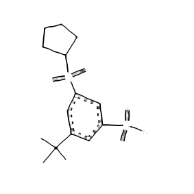 NS(=O)(=O)c1cc(C(F)(F)F)cc(S(=O)(=O)C2CCCC2)c1